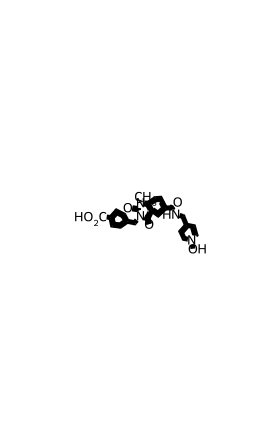 Cn1c(=O)n(Cc2ccc(C(=O)O)cc2)c(=O)c2cc(C(=O)NCC3=CCN(O)C=C3)ccc21